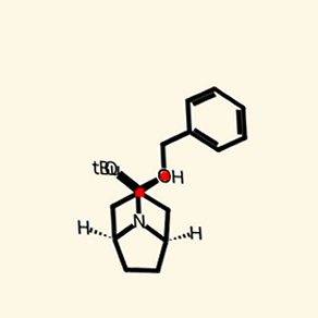 CC(C)(C)C1(O)C[C@H]2CC[C@@H](C1)N2C(=O)OCc1ccccc1